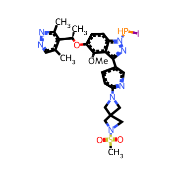 COc1c(O[C@H](C)c2c(C)cnnc2C)ccc2c1c(-c1ccc(N3CC4(C3)CN(S(C)(=O)=O)C4)nc1)nn2PI